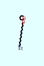 CC/C=C/CCCCC/C=C/CCCCOC1CCCCO1